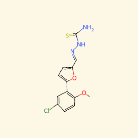 COc1ccc(Cl)cc1-c1ccc(/C=N/NC(N)=S)o1